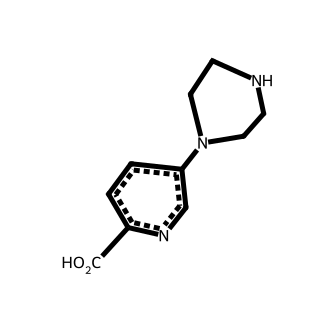 O=C(O)c1ccc(N2CCNCC2)cn1